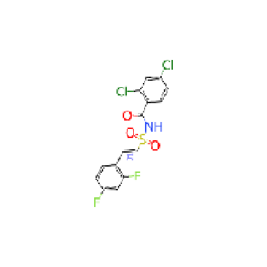 O=C(NS(=O)(=O)/C=C/c1ccc(F)cc1F)c1ccc(Cl)cc1Cl